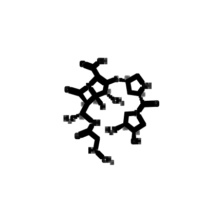 CNCC(=O)N[C@H](C)[C@H]1C(=O)N2C(C(=O)O)=C(S[C@@H]3CN[C@H](C(=O)N4C[C@@H](O)[C@@H](N)C4)C3)[C@H](C)[C@H]12